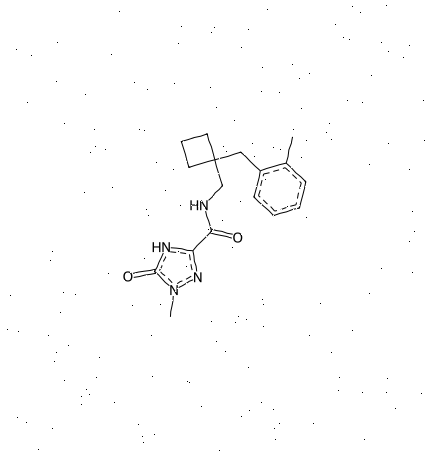 Cc1ccccc1CC1(CNC(=O)c2nn(C)c(=O)[nH]2)CCC1